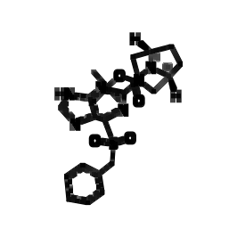 CC(C)(C)OC(=O)N1[C@@H]2CC[C@H]1CN(c1nc(S(=O)(=O)Cc3ccccc3)c3nc[nH]c3n1)C2